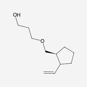 C=CC1CCC[C@@H]1COCCCO